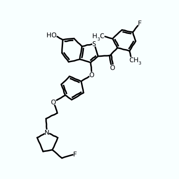 Cc1cc(F)cc(C)c1C(=O)c1sc2cc(O)ccc2c1Oc1ccc(OCCN2CCC(CF)C2)cc1